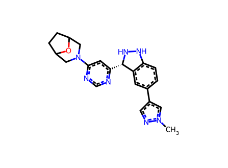 Cn1cc(-c2ccc3c(c2)[C@H](c2cc(N4CC5CCC(C4)O5)ncn2)NN3)cn1